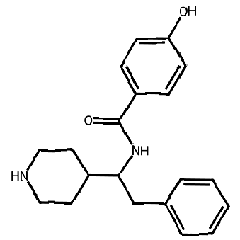 O=C(NC(Cc1ccccc1)C1CCNCC1)c1ccc(O)cc1